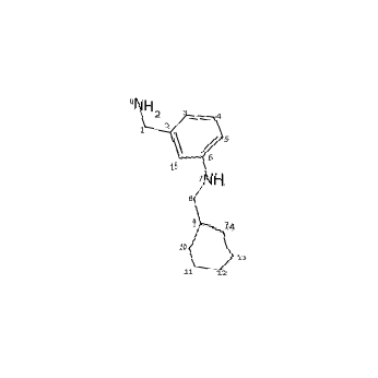 NCc1cccc(NCC2CCCCC2)c1